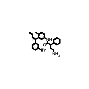 C=C/C=C(/c1cccc(C(C)C)c1)c1cc(NC(=O)C(CCN)C2=CCCC=C2)ccc1C